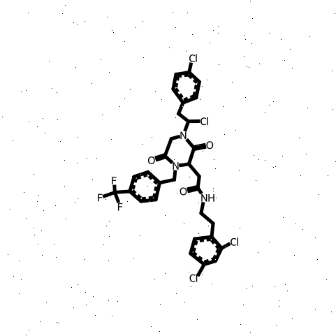 O=C(CC1C(=O)N(C(Cl)Cc2ccc(Cl)cc2)CC(=O)N1Cc1ccc(C(F)(F)F)cc1)NCCc1ccc(Cl)cc1Cl